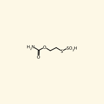 NC(=O)OCCSS(=O)(=O)O